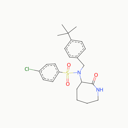 CC(C)(C)c1ccc(CN(C2CCCCNC2=O)S(=O)(=O)c2ccc(Cl)cc2)cc1